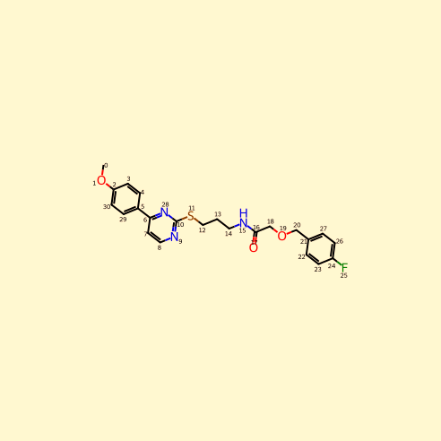 COc1ccc(-c2ccnc(SCCCNC(=O)COCc3ccc(F)cc3)n2)cc1